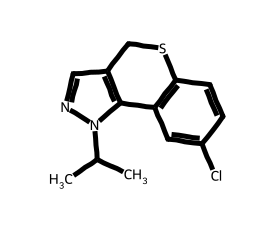 CC(C)n1ncc2c1-c1cc(Cl)ccc1SC2